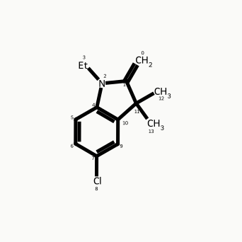 C=C1N(CC)c2ccc(Cl)cc2C1(C)C